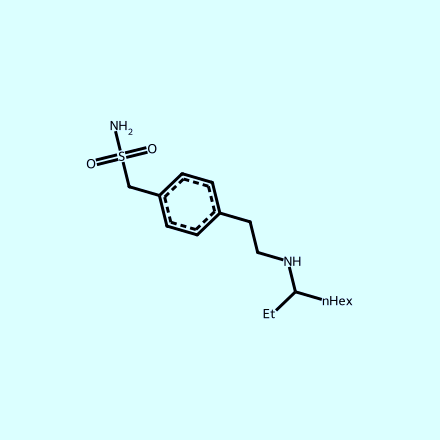 CCCCCCC(CC)NCCc1ccc(CS(N)(=O)=O)cc1